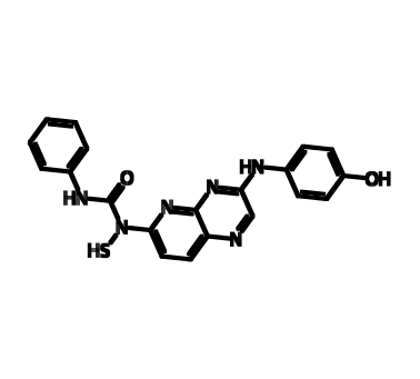 O=C(Nc1ccccc1)N(S)c1ccc2ncc(Nc3ccc(O)cc3)nc2n1